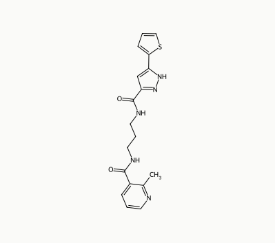 Cc1ncccc1C(=O)NCCCNC(=O)c1cc(-c2cccs2)[nH]n1